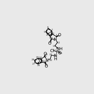 O=C1c2c(c3ccc2o3)C(=O)N1CCNP(=O)(Cl)NCCN1C(=O)c2c(c3ccc2o3)C1=O